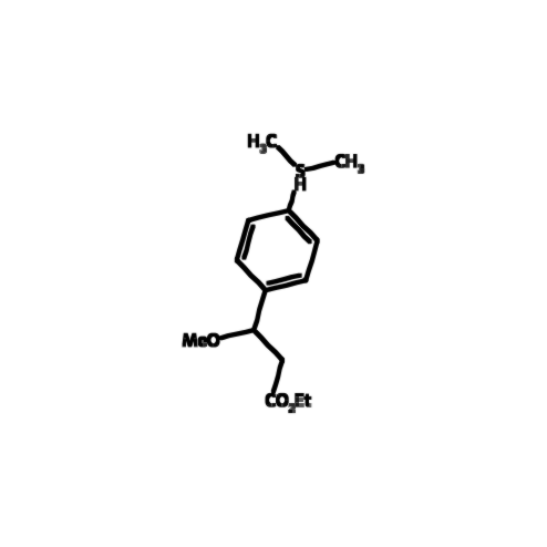 CCOC(=O)CC(OC)c1ccc([SH](C)C)cc1